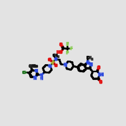 COc1nc(NC2CCN(S(=O)(=O)N(C)CCN3CCC(c4ccc5c(C6CCC(=O)NC6=O)nn(C)c5c4)CC3)CC2)ncc1Cl.O=C(O)C(F)(F)F